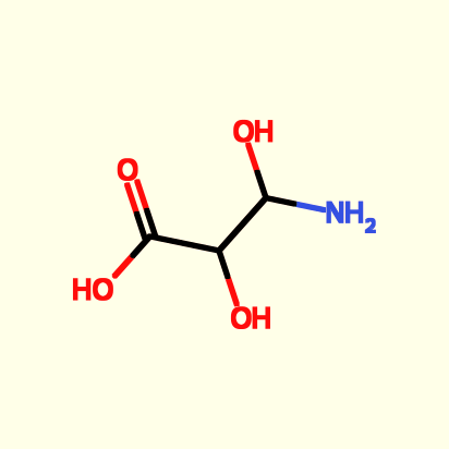 NC(O)C(O)C(=O)O